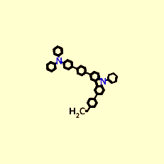 C=Cc1ccc(-c2ccc3c(c2)c2cc(-c4ccc(-c5ccc(N(c6ccccc6)c6ccccc6)cc5)cc4)ccc2n3C2=CC=CCC2)cc1